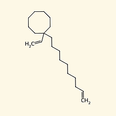 C=CCCCCCCCCC1(C=C)CCCCCCC1